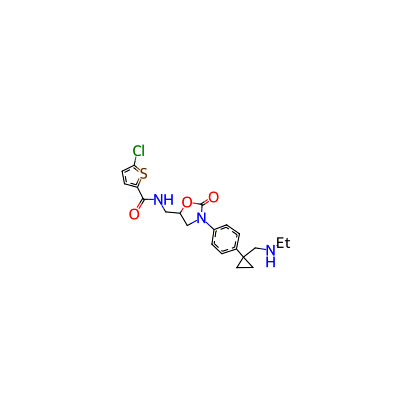 CCNCC1(c2ccc(N3CC(CNC(=O)c4ccc(Cl)s4)OC3=O)cc2)CC1